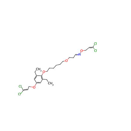 CCc1cc(OCC=C(Cl)Cl)cc(CC)c1OCCCCCCOCCC=NOCC=C(Cl)Cl